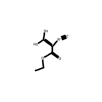 [C-]#[N+]C(C(=O)OCC)=C(S)S